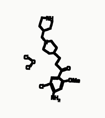 COc1cc(N)c(Cl)cc1C(=O)CCC1CCN(CC2CCNCC2)CC1.ClOCl